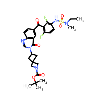 CCN(C)S(=O)(=O)Nc1ccc(F)c(C(=O)c2ccc3ncn(C4CC5(C4)CN(C(=O)OC(C)(C)C)C5)c(=O)c3c2)c1F